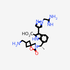 C[C@@H](c1cccc2c(-c3cnn(CC(=N)N)c3)c(C(=O)O)[nH]c12)N1CC2(CC(CN)C2)OC1=O